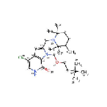 [2H]C1([2H])CCC(C)C([2H])([2H])N1Cc1cc2c(Cl)c[nH]c(=O)c2n1COCC[Si](C)(C)C